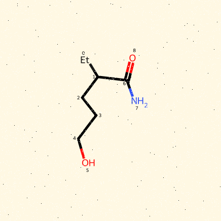 CCC(CCCO)C(N)=O